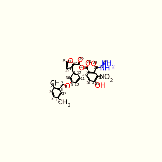 Cc1ccc(C)c(COc2cccc(-c3ccoc3C(=O)OC(=O)c3ccc(O)c([N+](=O)[O-])c3C(=O)NN)c2)c1